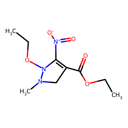 CCOC(=O)C1=C([N+](=O)[O-])N(OCC)N(C)C1